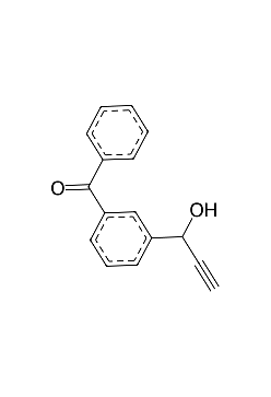 C#CC(O)c1cccc(C(=O)c2ccccc2)c1